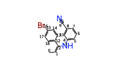 CC=C(Nc1cccc(C#N)c1)c1ccc(Br)cc1